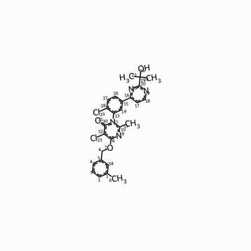 Cc1cccc(COc2nc(C)n(-c3cc(-c4ccnc(C(C)(C)O)n4)ccc3Cl)c(=O)c2Cl)c1